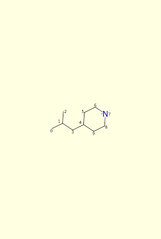 CC(C)CC1CC[N]CC1